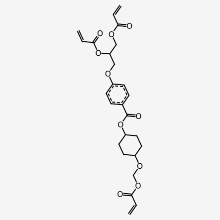 C=CC(=O)OCOC1CCC(OC(=O)c2ccc(OCC(COC(=O)C=C)OC(=O)C=C)cc2)CC1